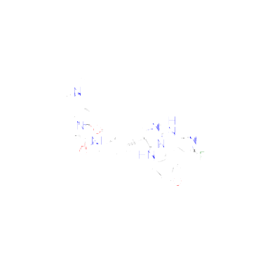 COc1ccc(Nc2nc(Nc3ccc(F)nc3)ncc2C#CCCCNC(=O)C(C)N(C)C(=O)/C=C/CN(C)C)cc1